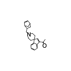 CC(=O)C1=CC2(CCN(CC3CC4C=CC3C4)CC2)c2ccccc21